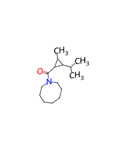 CC(C)C1C(C)C1C(=O)N1CCCCCCC1